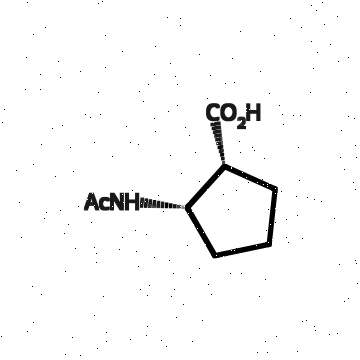 CC(=O)N[C@H]1CCC[C@H]1C(=O)O